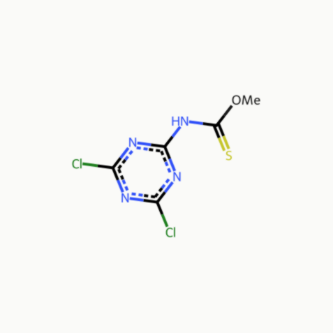 COC(=S)Nc1nc(Cl)nc(Cl)n1